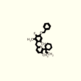 C=CC1(c2nc(Cc3c(C)cc(OCc4ccccc4)c(F)c3C)ccc2C)CCCCC1